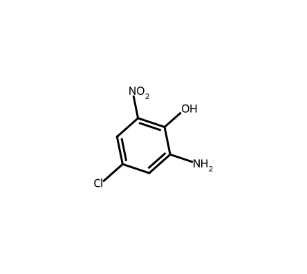 Nc1cc(Cl)cc([N+](=O)[O-])c1O